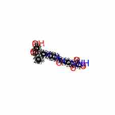 O=C1CC[C@@H](N2Cc3cc4c(cc3C2=O)CN(C(=O)CN2CCC3(CC2)CCN(c2ccc([C@H]5c6ccc(O)cc6OC[C@H]5c5ccccc5)cc2)CC3)C4)C(=O)N1